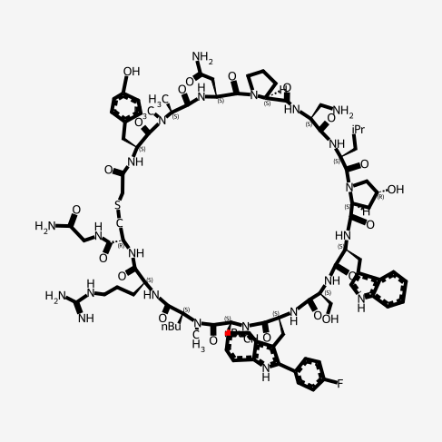 CCCC[C@H]1C(=O)N(C)[C@@H](CCCC)C(=O)N[C@@H](CCCNC(=N)N)C(=O)N[C@H](C(=O)NCC(N)=O)CSCC(=O)N[C@@H](Cc2ccc(O)cc2)C(=O)N(C)[C@@H](C)C(=O)N[C@@H](CC(N)=O)C(=O)N2CCC[C@H]2C(=O)N[C@@H](CN)C(=O)N[C@@H](CC(C)C)C(=O)N2C[C@H](O)C[C@H]2C(=O)N[C@@H](Cc2c[nH]c3ccccc23)C(=O)N[C@@H](CO)C(=O)N[C@@H](Cc2c(-c3ccc(F)cc3)[nH]c3ccccc23)C(=O)N1C